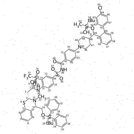 CC(C[C@@H](Sc1ccccc1)N(C)CCO[Si](c1ccccc1)(c1ccccc1)C(C)(C)C)Nc1ccc(S(=O)(=O)NC(=O)c2ccc(N3CCC(C(O[Si](C)(C)C(C)(C)C)c4ccccc4-c4ccc(Cl)cc4)CC3)cc2)cc1S(=O)(=O)C(F)(F)F